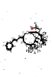 CC(=O)/N=C1\[C@H](C)C[C@@]2(C)OC/C(=C/C=C/c3ccccc3)CC[C@H]([C@H]1C)[C@](C)(O)[C@@H](I)OC(=O)[C@@](C)(F)C(=O)[C@H](C)[C@H]2C(C)(C)C